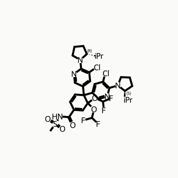 CC(C)[C@H]1CCCN1c1ncc(C2(c3cnc(N4CCC[C@H]4C(C)C)c(Cl)c3)C=CC(C(=O)NS(C)(=O)=O)=CC2(OC(F)F)OC(F)F)cc1Cl